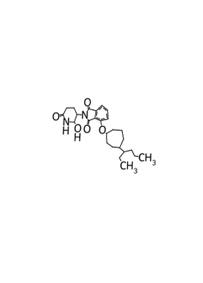 CCCC(CC)C1CCCC(Oc2cccc3c2C(=O)N(C2CCC(=O)NC2O)C3=O)CC1